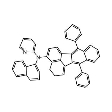 C1=C2c3c(ccc(N(c4ccccn4)c4cccc5ccccc45)c3CC1)-c1c2c(-c2ccccc2)c2ccccc2c1-c1ccccc1